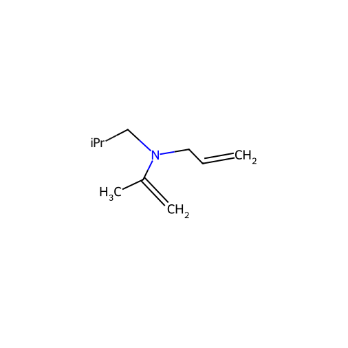 C=CCN(CC(C)C)C(=C)C